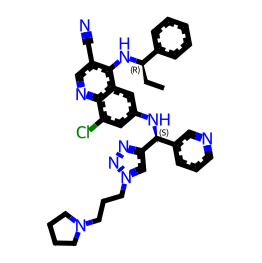 CC[C@@H](Nc1c(C#N)cnc2c(Cl)cc(N[C@@H](c3cccnc3)c3cn(CCCN4CCCC4)nn3)cc12)c1ccccc1